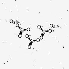 O=[Si]([O-])[O-].O=[Si]([O-])[O-].O=[Si]([O-])[O-].[Os+3].[Os+3]